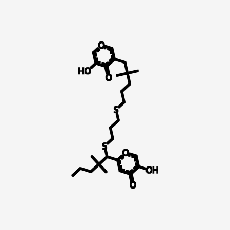 CCCC(C)(C)C(SCCCSCCCC(C)(C)Cc1cocc(O)c1=O)c1cc(=O)c(O)co1